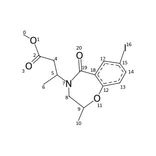 COC(=O)CC(C)N1CC(C)Oc2ccc(I)cc2C1=O